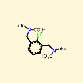 CCCCN(Cc1cccc(CN(CCCC)C(=O)O)c1Cl)C(=O)O